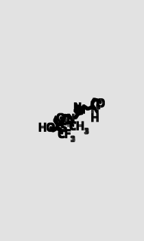 C[C@H]1C[C@@]2(CCN1Cc1cnn(CCC3CCCOCN3)c1)OCCc1c2sc(C(F)(F)F)c1CO